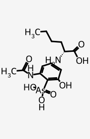 CC(=O)Nc1cccc(O)c1[As](=O)(O)O.CCCC[C@@H](N)C(=O)O